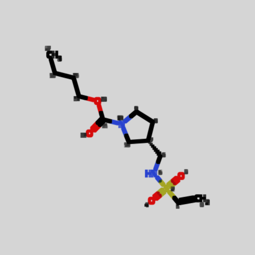 C=CS(=O)(=O)NC[C@H]1CCN(C(=O)OCCCC)C1